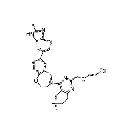 Cc1nc2ncc(-c3ccc4c(c3)CN(c3nc(COCCO)nc5c3CC(C)(C)CC5)CCO4)cc2[nH]1